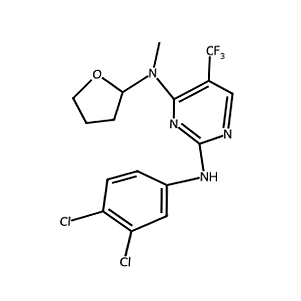 CN(c1nc(Nc2ccc(Cl)c(Cl)c2)ncc1C(F)(F)F)C1CCCO1